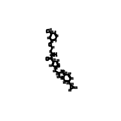 O=C(NCCOc1cccc(Cl)c1)c1cnn(Cc2cn3cc(C4CC4)ccc3n2)c1